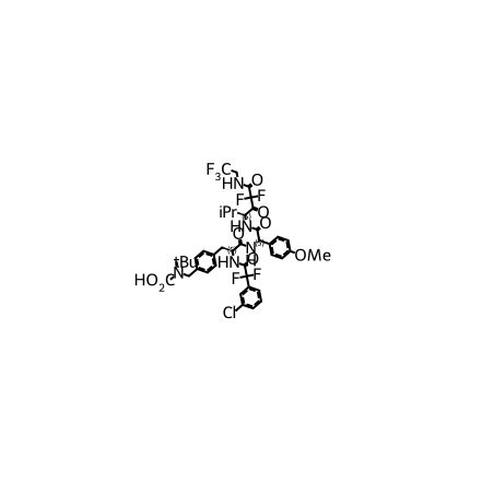 COc1ccc([C@H](NC(=O)[C@H](Cc2ccc(CN(C(=O)O)C(C)(C)C)cc2)NC(=O)C(F)(F)c2cccc(Cl)c2)C(=O)N[C@H](C(=O)C(F)(F)C(=O)NCC(F)(F)F)C(C)C)cc1